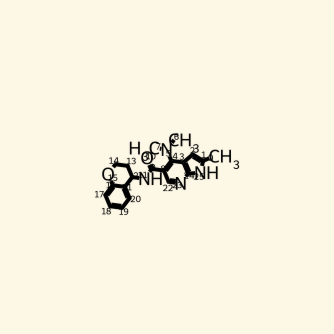 Cc1cc2c(N(C)C)c(C(=O)NC3CCOc4ccccc43)cnc2[nH]1